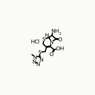 Cl.Cn1nnnc1SCC1=C(C(=O)O)N2C(=O)C(N)[C@H]2SC1